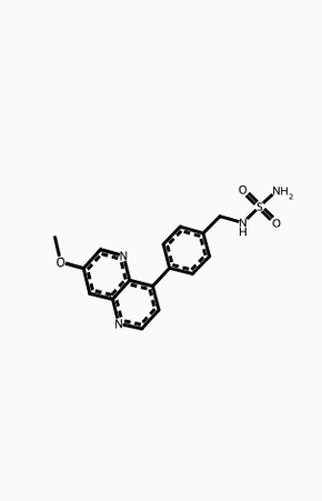 COc1cnc2c(-c3ccc(CNS(N)(=O)=O)cc3)ccnc2c1